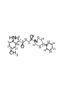 Cc1ccc2[nH]cc(C(=O)CCC(=O)N3CCC(c4ccccc4)CC3)c2c1